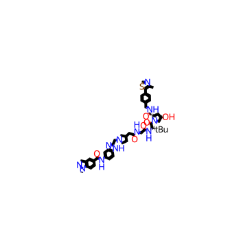 Cc1ncsc1-c1ccc(CNC(=O)[C@@H]2C[C@@H](O)CN2C(=O)[C@@H](NC(=O)CNC(=O)CC2CCN(Cc3nc4cc(NC(=O)c5ccc6c(cnn6C)c5)ccc4[nH]3)C2)C(C)(C)C)cc1